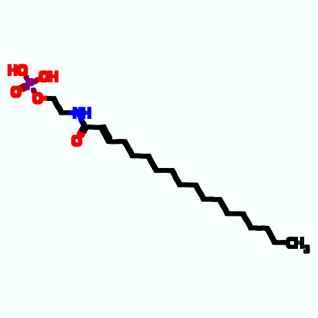 CCCCCCCCCCCCCCCC=CC(=O)NCCOP(=O)(O)O